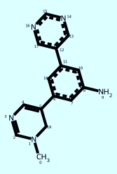 CN1C=NC=C(c2cc(N)cc(-c3cncnc3)c2)C1